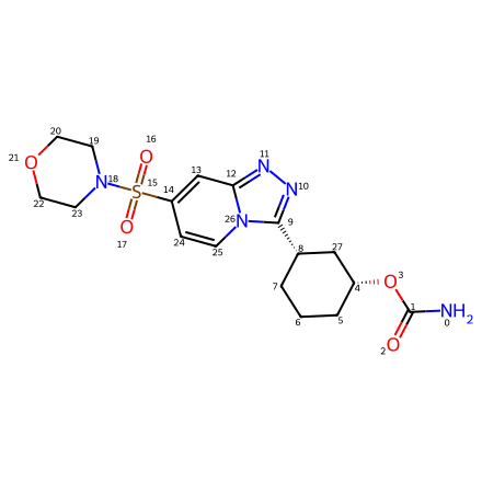 NC(=O)O[C@@H]1CCC[C@H](c2nnc3cc(S(=O)(=O)N4CCOCC4)ccn23)C1